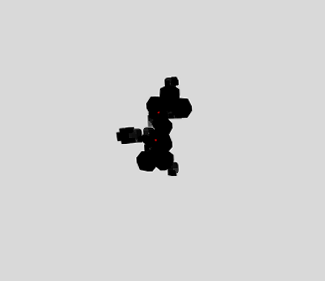 COc1ccc(C(Nc2ncnn3c([C@H]4C[C@H](OC(c5ccccc5)(c5ccccc5)c5ccc(OC)cc5)[C@@H](CO[Si](C)(C)C(C)(C)C)O4)ccc23)(c2ccccc2)c2ccccc2)cc1